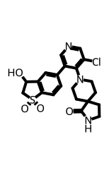 O=C1NCCC12CCN(c1c(Cl)cncc1-c1ccc3c(c1)C(O)CS3(=O)=O)CC2